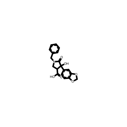 O=C(O)C1CN(Cc2ccccc2)C(=O)C1(O)c1ccc2c(c1)OCO2